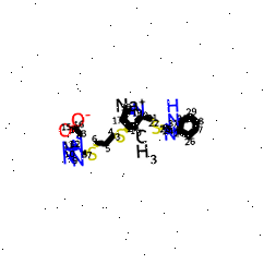 Cc1c(SCCCSc2nnnn2CC(=O)[O-])ccnc1CSc1nc2ccccc2[nH]1.[Na+]